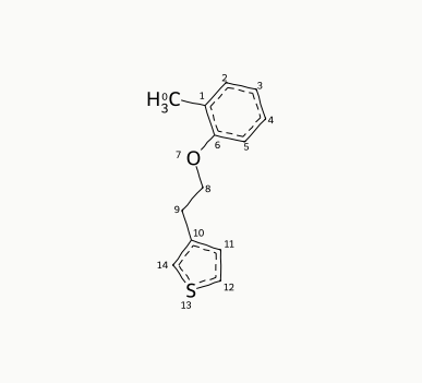 Cc1ccccc1OCCc1ccsc1